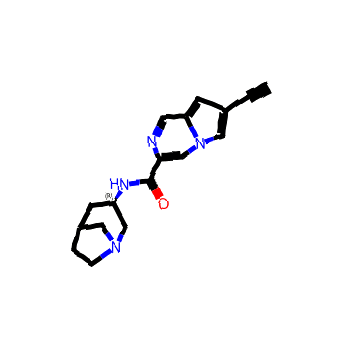 C#Cc1cc2cnc(C(=O)N[C@@H]3CC4CCN(C4)C3)cn2c1